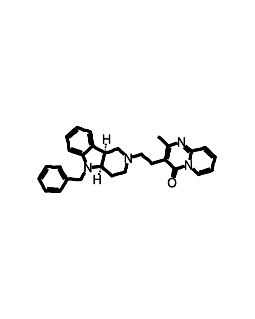 Cc1nc2ccccn2c(=O)c1CCN1CC[C@@H]2[C@H](C1)c1ccccc1N2Cc1ccccc1